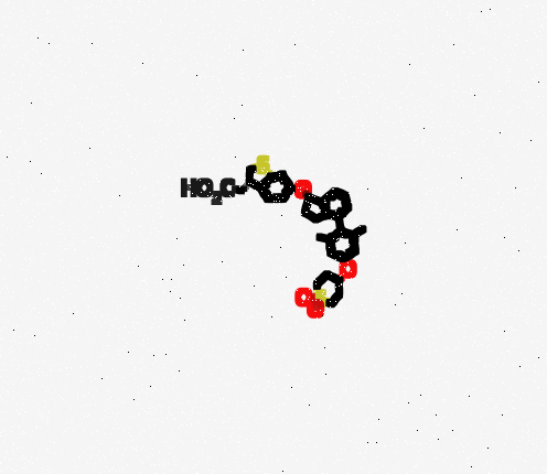 Cc1cc(OC2CCS(=O)(=O)CC2)cc(C)c1-c1cccc2c1CCC2Oc1ccc2c(c1)SC[C@H]2CC(=O)O